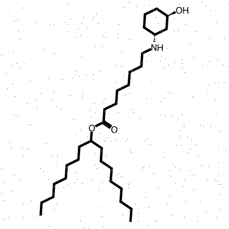 CCCCCCCCC(CCCCCCCC)OC(=O)CCCCCCCN[C@@H]1CCC[C@@H](O)C1